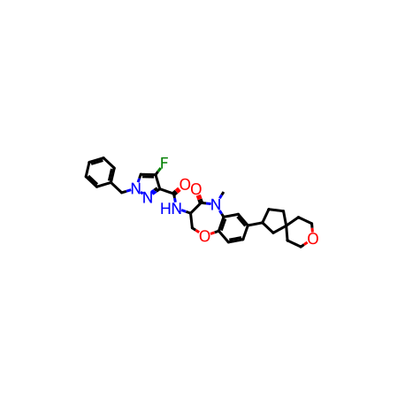 CN1C(=O)C(NC(=O)c2nn(Cc3ccccc3)cc2F)COc2ccc(C3CCC4(CCOCC4)C3)cc21